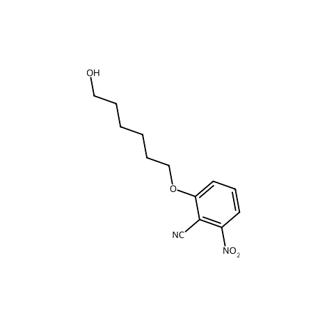 N#Cc1c(OCCCCCCO)cccc1[N+](=O)[O-]